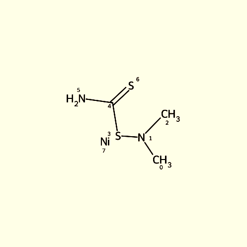 CN(C)SC(N)=S.[Ni]